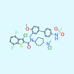 COc1ccc(-c2ccc(NS(C)(=O)=O)cc2)cc1CN(C(=O)c1sc2c(F)ccc(F)c2c1Cl)[C@H]1CC[C@H](N(C)Cl)CC1